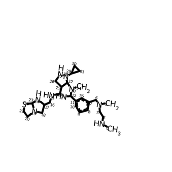 CNCCN(C)Cc1cccc(C2NC(NCC3CN4CCSC4N3)C3CNN(C4CC4)C3N2C)c1